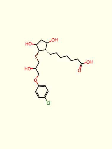 O=C(O)CCCCCC[C@H]1C(O)CC(O)[C@@H]1SCC(O)COc1ccc(Cl)cc1